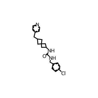 O=C(NCc1ccc(Cl)cc1)NC1CC2(CC(Cc3ccncc3)C2)C1